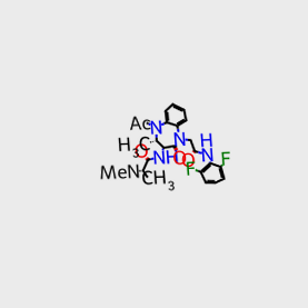 CN[C@@H](C)C(=O)N[C@@H]1C(=O)N(CC(=O)Nc2c(F)cccc2F)c2ccccc2N(C(C)=O)[C@H]1C